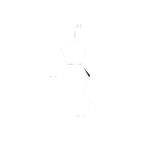 CCCC[C@@H]1CC(O)O[C@H]1C